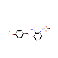 COc1ccc(COc2cccc(NS(C)(=O)=O)c2[N+](=O)[O-])cc1